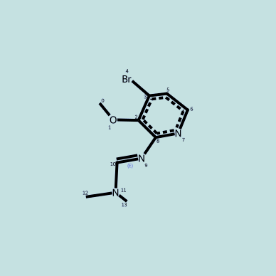 COc1c(Br)ccnc1/N=C/N(C)C